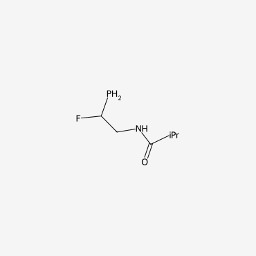 CC(C)C(=O)NCC(F)P